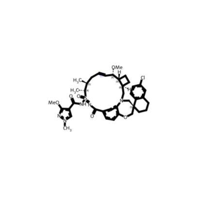 COc1nn(C)cc1C(=O)NS1(=O)=NC(=O)c2ccc3c(c2)N(C[C@@H]2CC[C@H]2[C@@H](OC)/C=C/C[C@H](C)[C@H]1C)C[C@@]1(CCCc2cc(Cl)ccc21)CO3